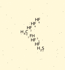 C.F.F.F.F.F.F.S